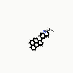 Cc1ccc2cc(-c3ccc4c5c3ccc3ccc6cccc-4c6c35)ccc2n1